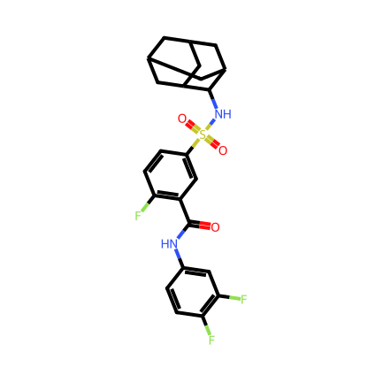 O=C(Nc1ccc(F)c(F)c1)c1cc(S(=O)(=O)NC2C3CC4CC(C3)CC2C4)ccc1F